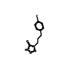 O=c1[nH]nnn1CCCc1ccc(F)cc1